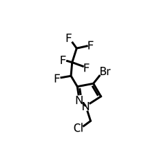 FC(F)C(F)(F)C(F)c1nn(CCl)cc1Br